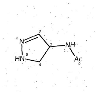 CC(=O)NC1C=NNC1